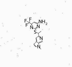 CC(Sc1nc(N)cc(C(F)(F)F)n1)c1cc2ccn(C)c2cn1